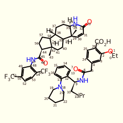 CCOc1cc(CC(=O)N[C@@H](CC(C)C)c2ccccc2N2CCCCC2)ccc1C(=O)O.C[C@]12C=CC(=O)N[C@@H]1CC[C@@H]1[C@@H]2CC[C@]2(C)[C@@H](C(=O)Nc3cc(C(F)(F)F)ccc3C(F)(F)F)CC[C@@H]12